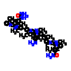 Cc1ccc(C(C)(C)Cc2cc(C)c(-n3nc4c(c3-c3ccc(N)cc3)CN(c3ccc(-c5cc(C)c(-n6nc7c(c6-c6ccc(NC(N)=O)cc6)CN(c6ccccc6C(C)C)C7)c(C)c5)cc3C(C)C)C4)c(C)c2)cc1N1Cc2nn(-c3c(C)cccc3C)c(-c3ccc(C(N)=O)cc3)c2C1